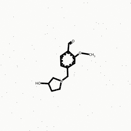 COc1cc(CN2CCC(O)C2)ccc1C=O